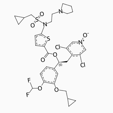 O=C(O[C@@H](Cc1c(Cl)c[n+]([O-])cc1Cl)c1ccc(OC(F)F)c(OCC2CC2)c1)c1ccc(N(CCN2CCCC2)S(=O)(=O)CC2CC2)s1